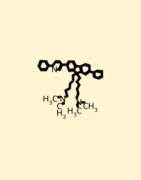 CCN(CC)CCCCCCC1(CCCCCCN(CC)CC)c2cc(-c3ccccc3)ccc2-c2ccc(-c3ccc(-c4ccccc4)nc3)cc21